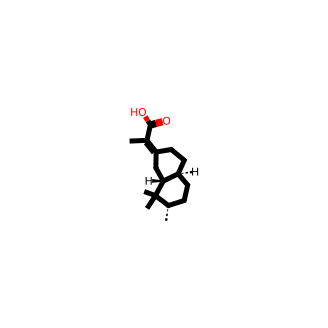 C/C(C(=O)O)=C1/CC[C@H]2CC[C@H](C)C(C)(C)[C@@H]2C1